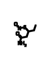 CCC(CC(N)=O)SN=O